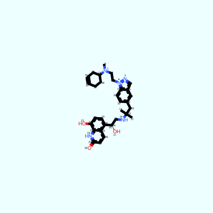 CN(CCn1ncc2cc(CC(C)(C)NC[C@H](O)c3ccc(O)c4[nH]c(=O)ccc34)ccc21)C1CC#CCC1